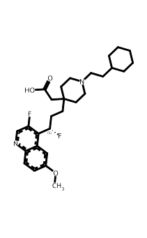 COc1ccc2ncc(F)c([C@@H](F)CCC3(CC(=O)O)CCN(CCC4CCCCC4)CC3)c2c1